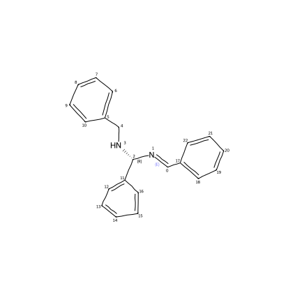 C(=N\[C@@H](NCc1ccccc1)c1ccccc1)/c1ccccc1